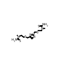 CN(CCSCc1cnn(CSCCN(C)C(N)=S)n1)C(N)=S